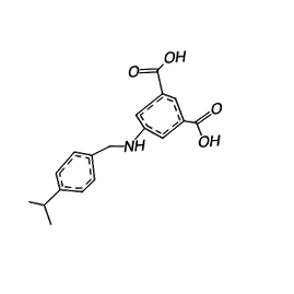 CC(C)c1ccc(CNc2cc(C(=O)O)cc(C(=O)O)c2)cc1